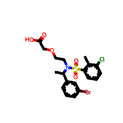 Cc1c(Cl)cccc1S(=O)(=O)N(CCOCC(=O)O)C(C)c1cccc(Br)c1